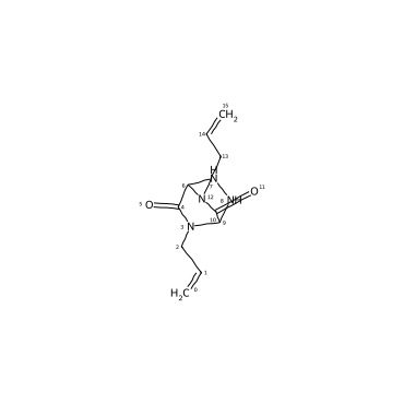 C=CCN1C(=O)C2NNC1C(=O)N2CC=C